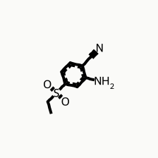 CCS(=O)(=O)c1ccc(C#N)c(N)c1